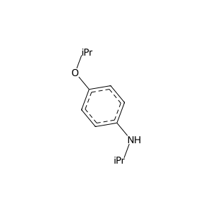 CC(C)Nc1ccc(OC(C)C)cc1